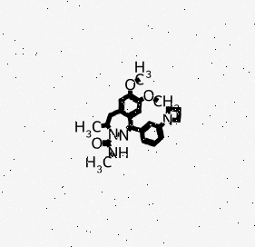 CNC(=O)N1N=C(c2cccc(N3CCC3)c2)c2cc(OC)c(OC)cc2CC1C